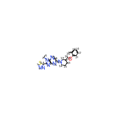 CCn1c(-c2nncs2)nc2nc(N3CCCC(COc4ccccc4C)C3)cnc21